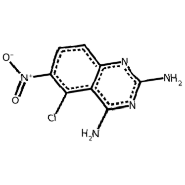 Nc1nc(N)c2c(Cl)c([N+](=O)[O-])ccc2n1